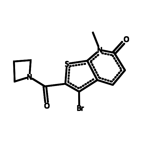 Cn1c(=O)ccc2c(Br)c(C(=O)N3CCC3)sc21